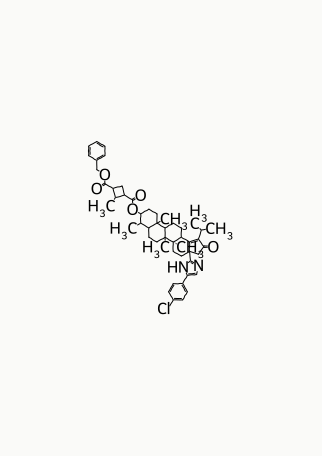 CC(C)C1=C2C3CCC4C5(C)CCC(OC(=O)C6CC(C(=O)OCc7ccccc7)C6C)C(C)C5CCC4(C)[C@]3(C)CCC2(c2ncc(-c3ccc(Cl)cc3)[nH]2)CC1=O